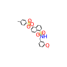 COc1cccc(CNS(=O)(=O)c2cccc3c(OS(=O)(=O)c4ccc(C)cc4)cccc23)c1